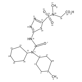 CC1CCC(N(C(=O)Nc2nnc(S(=O)(=O)N(C)CC(=O)O)s2)C2CCCCC2)CC1